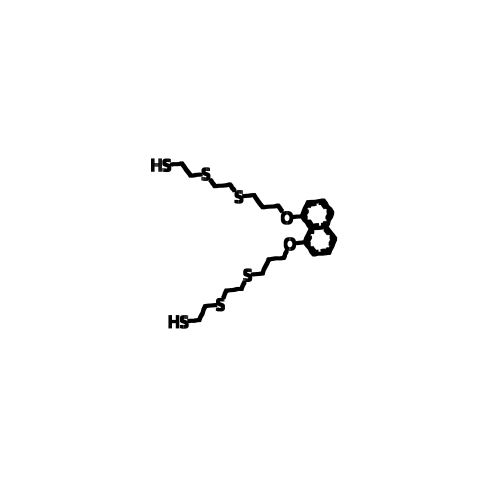 SCCSCCSCCCOc1cccc2cccc(OCCCSCCSCCS)c12